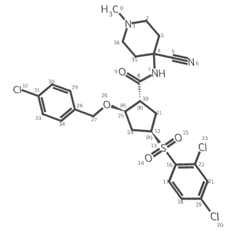 CN1CCC(C#N)(NC(=O)[C@@H]2C[C@@H](S(=O)(=O)c3ccc(Cl)cc3Cl)C[C@H]2OCc2ccc(Cl)cc2)CC1